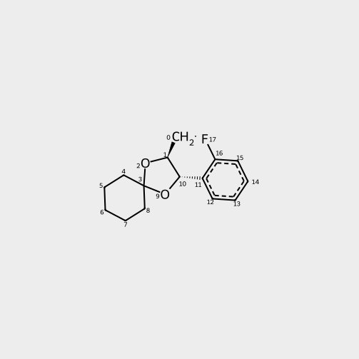 [CH2][C@@H]1OC2(CCCCC2)O[C@H]1c1ccccc1F